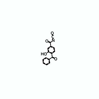 O=C=NC(=O)c1ccc(C(=O)c2ccccc2)c(O)c1